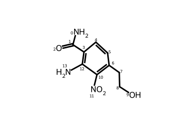 NC(=O)c1ccc(CCO)c([N+](=O)[O-])c1N